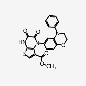 COC(=O)c1csc2[nH]c(=O)c(=O)n(-c3ccc4c(c3)N(c3ccccc3)CCO4)c12